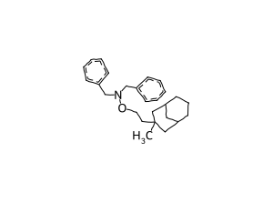 CC1(CCON(Cc2ccccc2)Cc2ccccc2)CC2CCCC(C2)C1